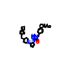 COc1ccc(CNC(=O)N[C@@H]2CCC[C@H]2N2CCC(Cc3ccc(Cl)cc3)CC2)cc1